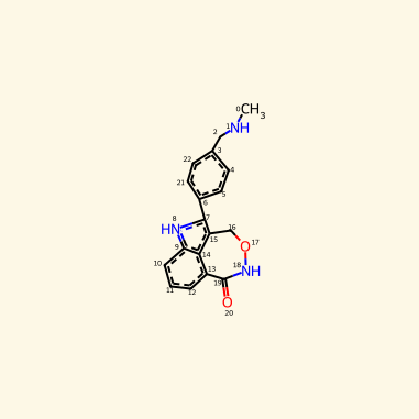 CNCc1ccc(-c2[nH]c3cccc4c3c2CONC4=O)cc1